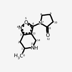 CC1Cc2noc(N3CCCC3=O)c2CN1